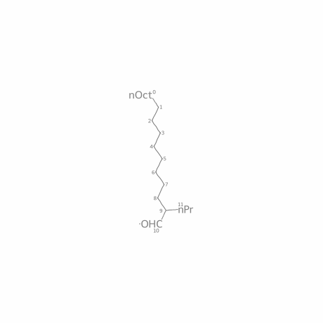 CCCCCCCCCCCCCCCCC([C]=O)CCC